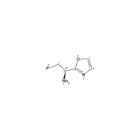 CC(C)C[C@H](N)c1ncco1